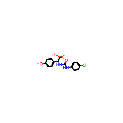 O=C(Nc1ccc(Cl)cc1)N[C@@H](C(=O)O)c1ccc(O)cc1